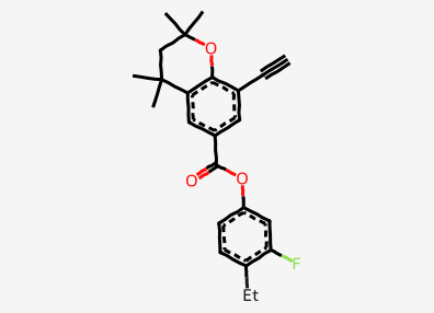 C#Cc1cc(C(=O)Oc2ccc(CC)c(F)c2)cc2c1OC(C)(C)CC2(C)C